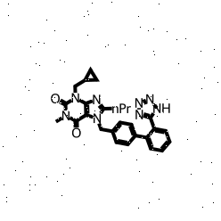 CCCc1nc2c(c(=O)n(C)c(=O)n2CC2CC2)n1Cc1ccc(-c2ccccc2-c2nnn[nH]2)cc1